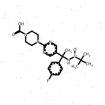 CC(N[S@@+]([O-])C(C)(C)C)(c1ccc(F)cc1)c1cnc(N2CCN(C(=O)O)CC2)nc1